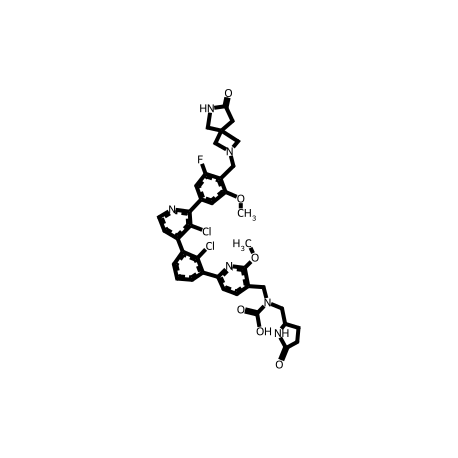 COc1cc(-c2nccc(-c3cccc(-c4ccc(CN(CC5CCC(=O)N5)C(=O)O)c(OC)n4)c3Cl)c2Cl)cc(F)c1CN1CC2(CNC(=O)C2)C1